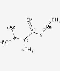 [CH3][Ra][CH2]C(=O)C(C)C(C)C(C)=O